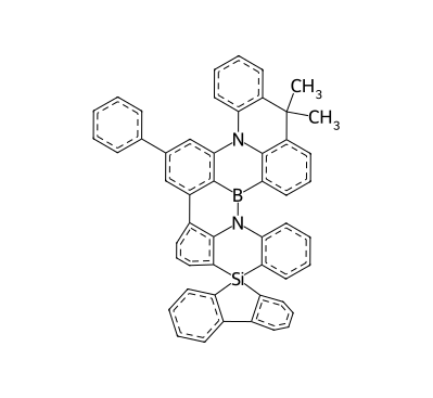 CC1(C)c2ccccc2N2c3cc(-c4ccccc4)cc4c3B(c3cccc1c32)N1c2ccccc2[Si]2(c3ccccc3-c3ccccc32)c2cccc-4c21